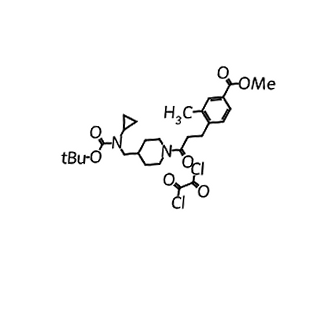 COC(=O)c1ccc(CCC(=O)N2CCC(CN(C(=O)OC(C)(C)C)C3CC3)CC2)c(C)c1.O=C(Cl)C(=O)Cl